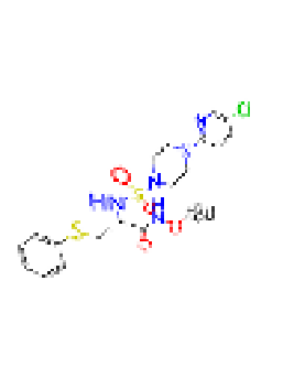 CC(C)(C)ONC(=O)[C@H](CSc1ccccc1)NS(=O)(=O)N1CCN(c2ccc(Cl)cn2)CC1